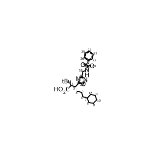 CC(C)(C)C(C(=O)O)[C@@H](CCCC1CCCCC1)c1nc(CNS(=O)(=O)c2ccccc2)no1